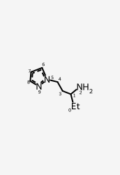 CCC(N)CCn1cccn1